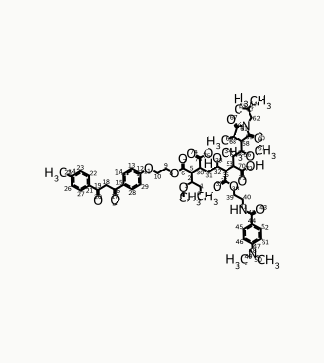 CCC(OC)C(C(=O)OCCOc1ccc(C(=O)CC(=O)c2ccc(C)cc2)cc1)C(CC(OC)C(C(=O)OCCNC(=O)c1ccc(N(C)C)cc1)C(CC(OC)C1C(=O)N(CC(C)C)C(=O)C1C)C(=O)O)C(=O)O